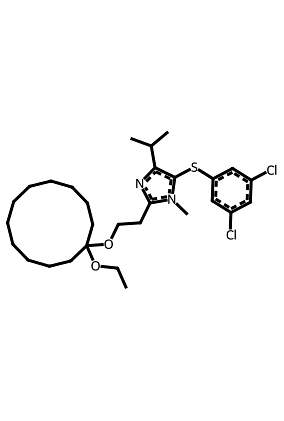 CCOC1(OCCc2nc(C(C)C)c(Sc3cc(Cl)cc(Cl)c3)n2C)CCCCCCCCCCC1